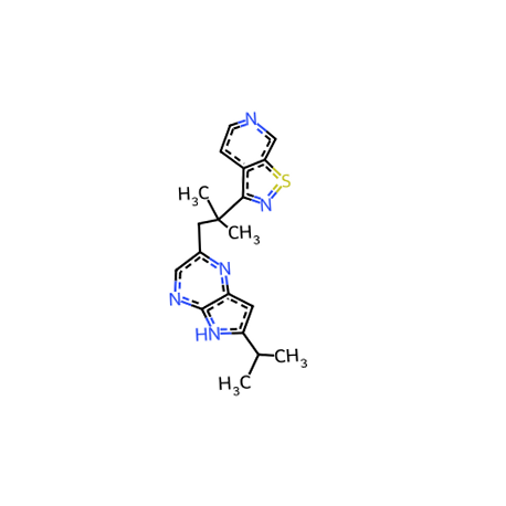 CC(C)c1cc2nc(CC(C)(C)c3nsc4cnccc34)cnc2[nH]1